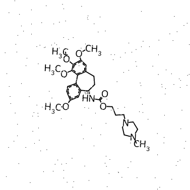 COc1ccc2c(c1)[C@@H](NC(=O)OCCCN1CCN(C)CC1)CCc1cc(OC)c(OC)c(OC)c1-2